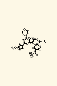 Cc1ncc(-c2nc(N3CCOCC3)c3sc(CN(C)c4ncc(C(=O)NO)cn4)cc3n2)s1